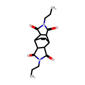 CCCN1C(=O)C2C3C=CC(C2C1=O)C1C(=O)N(CCC)C(=O)C31